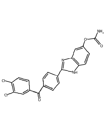 NC(=O)Oc1ccc2[nH]c(-c3ccc(C(=O)c4ccc(Cl)c(Cl)c4)cc3)nc2c1